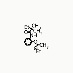 CCOC(C)Oc1ccccc1NC(=O)C(C)(C)CC